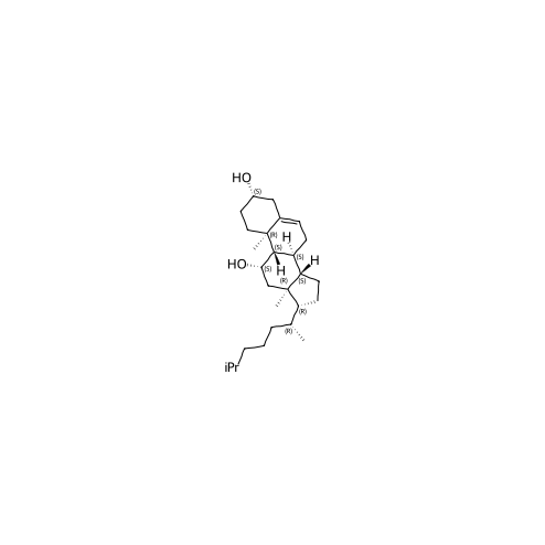 CC(C)CCC[C@@H](C)[C@H]1CC[C@H]2[C@@H]3CC=C4C[C@@H](O)CC[C@]4(C)[C@H]3[C@@H](O)C[C@]12C